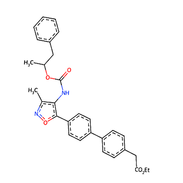 CCOC(=O)Cc1ccc(-c2ccc(-c3onc(C)c3NC(=O)OC(C)Cc3ccccc3)cc2)cc1